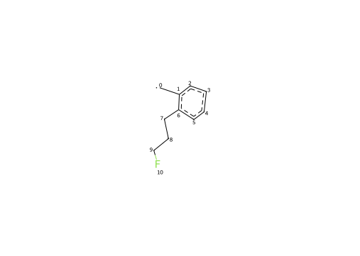 [CH2]c1ccccc1CCCF